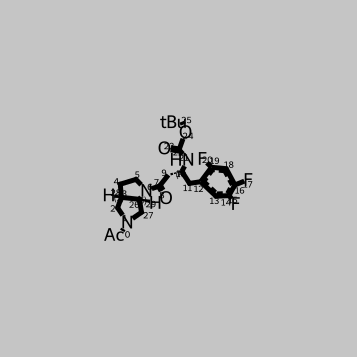 CC(=O)N1C[C@@H]2CCN(C(=O)C[C@@H](Cc3cc(F)c(F)cc3F)NC(=O)OC(C)(C)C)[C@@H]2C1